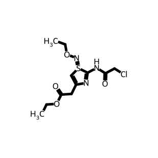 CCON=S1C=C(CC(=O)OCC)N=C1NC(=O)CCl